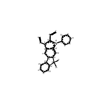 C=Cc1c(C=C)n(-c2ccccc2)c2cc3c(cc12)-c1ccccc1C3(C)C